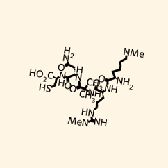 CNCCCC[C@H](N)C(=O)N[C@@H](CCCNC(=N)NC)C(=O)NC(C)(C)C(=O)N[C@@H](CC(N)=O)C(=O)N[C@@H](CS)C(=O)O